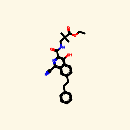 CCOC(=O)C(C)(C)CNC(=O)c1nc(C#N)c2cc(CCc3ccccc3)ccc2c1O